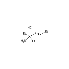 CCC=CC(N)(CC)CC.Cl